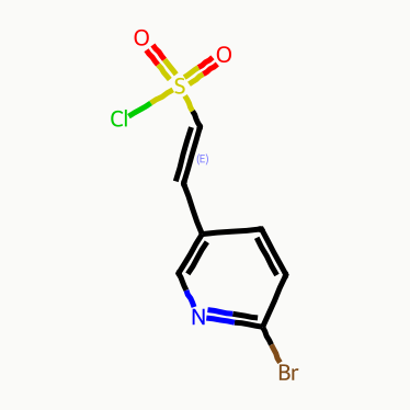 O=S(=O)(Cl)/C=C/c1ccc(Br)nc1